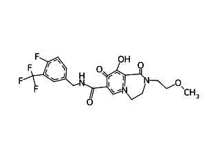 COCCN1CCn2cc(C(=O)NCc3ccc(F)c(C(F)(F)F)c3)c(=O)c(O)c2C1=O